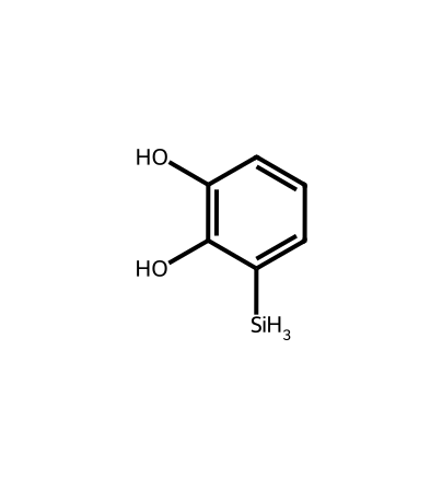 Oc1cccc([SiH3])c1O